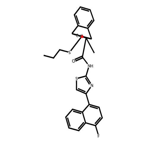 CCCSC1=NC2c3ccccc3C1CC2(C)C(=O)Nc1nc(-c2ccc(F)c3ccccc23)cs1